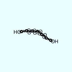 CC(C)(c1ccc(O)cc1)c1ccc(OC(=O)c2ccc(OC(=O)c3ccc(C(=O)Oc4ccc(C(=O)Oc5ccc(C(C)(C)c6ccc(O)cc6)cc5)cc4)s3)cc2)cc1